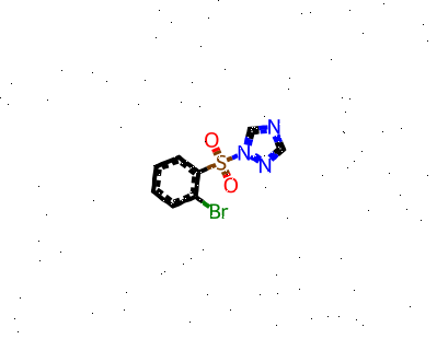 O=S(=O)(c1ccccc1Br)n1cncn1